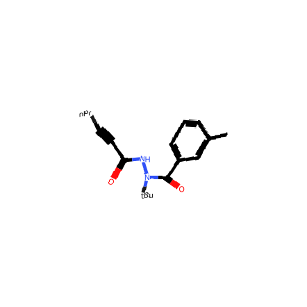 CCCC#CC(=O)NN(C(=O)c1cccc(C)c1)C(C)(C)C